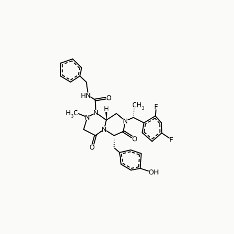 C[C@H](c1ccc(F)cc1F)N1C[C@@H]2N(C(=O)CN(C)N2C(=O)NCc2ccccc2)[C@@H](Cc2ccc(O)cc2)C1=O